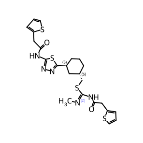 C/N=C(/NC(=O)Cc1cccs1)SC[C@H]1CCC[C@H](c2nnc(NC(=O)Cc3cccs3)s2)C1